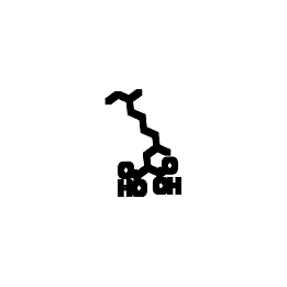 CCC(C)CCCCC(C)CC(C(=O)O)C(=O)O